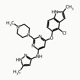 Cc1cc(Nc2cc(Oc3ccc4[nH]c(C)cc4c3Cl)nc(N3CCN(C)CC3)n2)n[nH]1